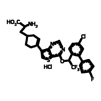 Cl.NC(CC1CC=C(c2csc3c(OC(c4ccc(Cl)cc4-c4ccc(F)cc4)C(F)(F)F)ncnc23)CC1)C(=O)O